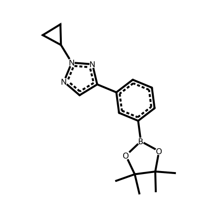 CC1(C)OB(c2cccc(-c3cnn(C4CC4)n3)c2)OC1(C)C